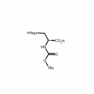 CCCCCCCC[C@H](NC(=O)OC(C)(C)C)C(=O)O